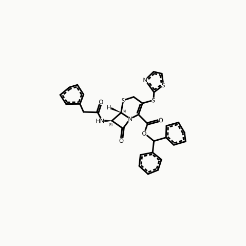 O=C(Cc1ccccc1)N[C@@H]1C(=O)N2C(C(=O)OC(c3ccccc3)c3ccccc3)=C(Sc3nccs3)CS[C@@H]12